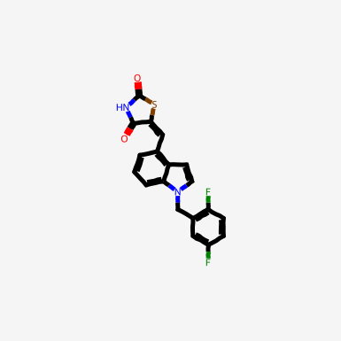 O=C1NC(=O)C(=Cc2cccc3c2ccn3Cc2cc(F)ccc2F)S1